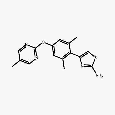 Cc1cnc(Oc2cc(C)c(-c3csc(N)n3)c(C)c2)nc1